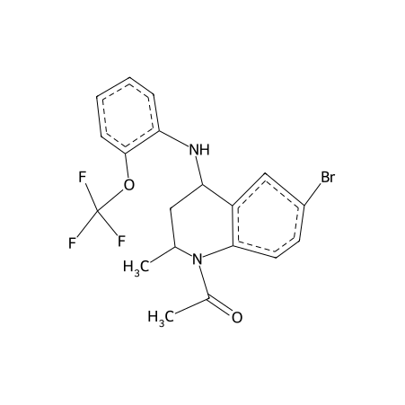 CC(=O)N1c2ccc(Br)cc2C(Nc2ccccc2OC(F)(F)F)CC1C